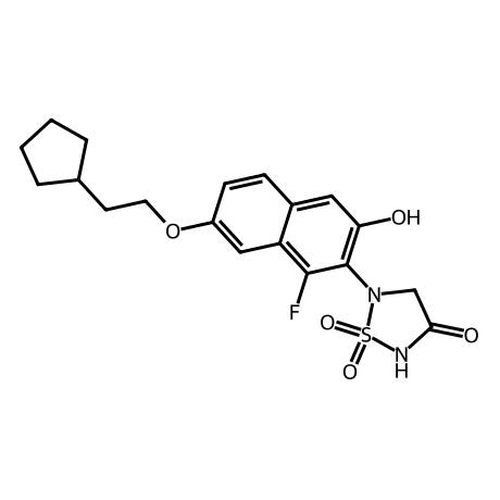 O=C1CN(c2c(O)cc3ccc(OCCC4CCCC4)cc3c2F)S(=O)(=O)N1